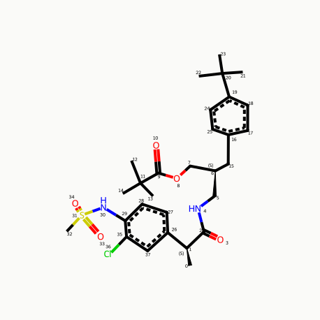 C[C@H](C(=O)NC[C@@H](COC(=O)C(C)(C)C)Cc1ccc(C(C)(C)C)cc1)c1ccc(NS(C)(=O)=O)c(Cl)c1